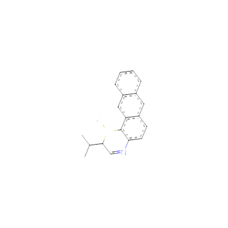 CC(C)C1C=Nc2ccc3cc4ccccc4cc3c2[S+]1[O-]